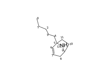 CCCCCC12C=CCC(CC1)N2